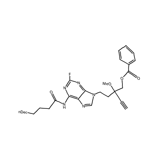 C#CC(CCn1cnc2c(NC(=O)CCCCCCCCCCCCC)nc(F)nc21)(COC(=O)c1ccccc1)OC